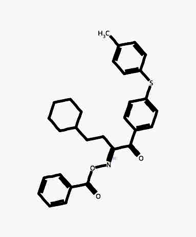 Cc1ccc(Sc2ccc(C(=O)/C(CCC3CCCCC3)=N/OC(=O)c3ccccc3)cc2)cc1